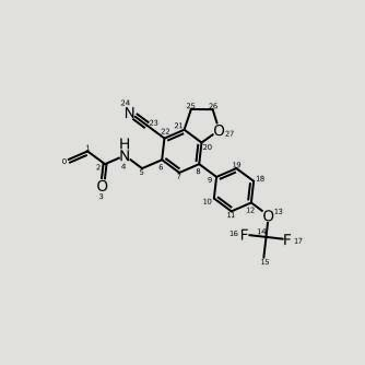 C=CC(=O)NCc1cc(-c2ccc(OC(C)(F)F)cc2)c2c(c1C#N)CCO2